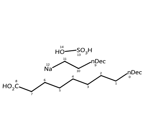 CCCCCCCCCCCCCCCCCC(=O)O.CCCCCCCCCCC[CH2][Na].O=S(=O)(O)O